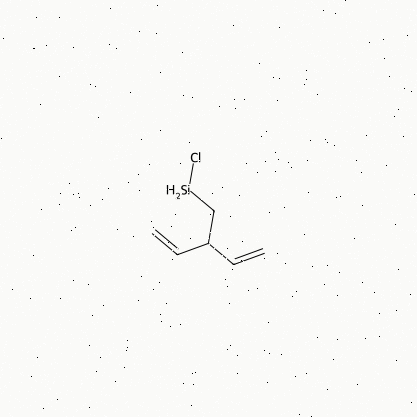 C=CC(C=C)C[SiH2]Cl